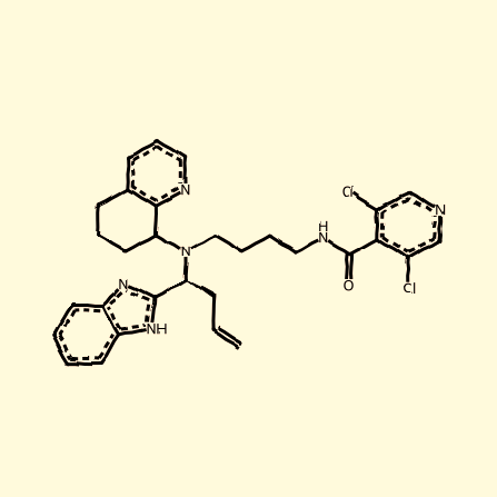 C=CC[C@@H](c1nc2ccccc2[nH]1)N(CCCCNC(=O)c1c(Cl)cncc1Cl)C1CCCc2cccnc21